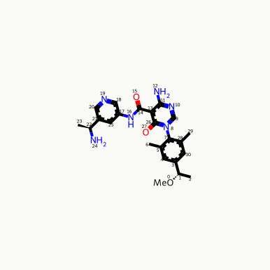 CO[C@@H](C)c1cc(C)c(-n2cnc(N)c(C(=O)Nc3cncc([C@H](C)N)c3)c2=O)c(C)c1